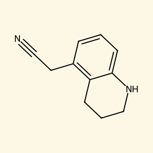 N#CCc1cccc2c1CCCN2